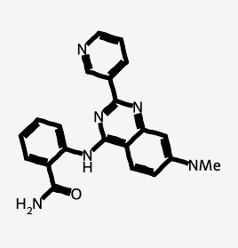 CNc1ccc2c(Nc3ccccc3C(N)=O)nc(-c3cccnc3)nc2c1